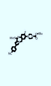 CSC1=Nc2cc(F)c(N3CCN(C(=O)OC(C)(C)C)CC3)cc2Cn2cc(-c3ccc(C#N)cc3)cc21